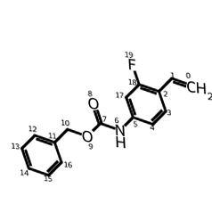 C=Cc1ccc(NC(=O)OCc2ccccc2)cc1F